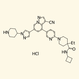 CCC1(C(=O)NC2CCC2)CCN(c2ccc(-c3cc(-c4cnn(C5CCNCC5)c4)cn4ncc(C#N)c34)cn2)CC1.Cl